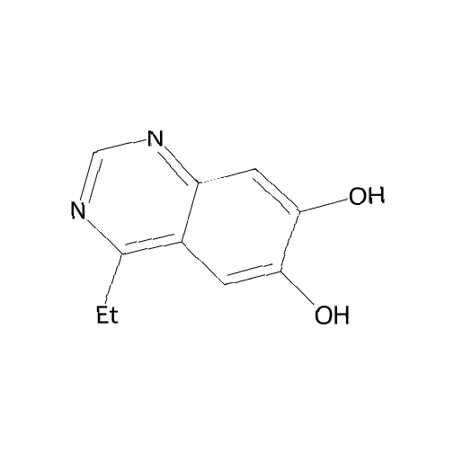 CCc1ncnc2cc(O)c(O)cc12